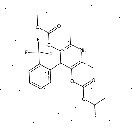 COC(=O)OC1=C(C)NC(C)=C(OC(=O)OC(C)C)C1c1ccccc1C(F)(F)F